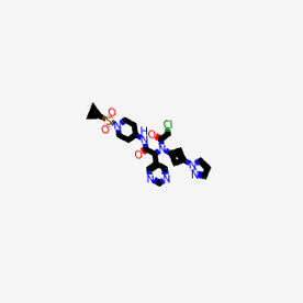 O=C(NC1CCN(S(=O)(=O)C2CC2)CC1)C(c1cncnc1)N(C(=O)CCl)C12CC(n3cccn3)(C1)C2